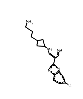 N=C/C(=C\NC1CC(CCCN)C1)c1cnc2ccc(Cl)cc2n1